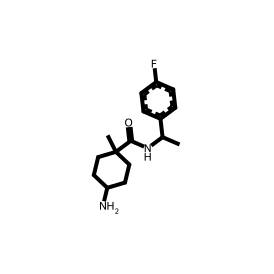 CC(NC(=O)C1(C)CCC(N)CC1)c1ccc(F)cc1